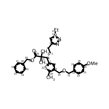 CCn1cc(CC[C@H](c2cc(COCc3ccc(OC)cc3)c(C)s2)C(C)(C)C(=O)OCc2ccccc2)nn1